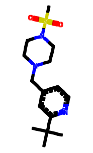 CC(C)(C)c1cc(CN2CCN(S(C)(=O)=O)CC2)ccn1